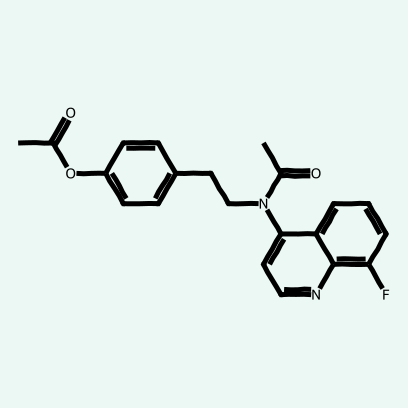 CC(=O)Oc1ccc(CCN(C(C)=O)c2ccnc3c(F)cccc23)cc1